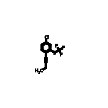 CCC#Cc1ccc(Cl)cc1SC(F)(F)F